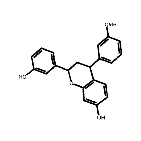 COc1cccc(C2CC(c3cccc(O)c3)Oc3cc(O)ccc32)c1